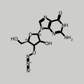 [N-]=[N+]=NOC1C(O)[C@H](n2cnc3c(=O)[nH]c(N)nc32)O[C@@H]1CO